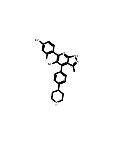 Cc1n[nH]c2nc(-c3ccc(O)cc3F)c(C#N)c(-c3ccc(C4CCNCC4)cc3)c12